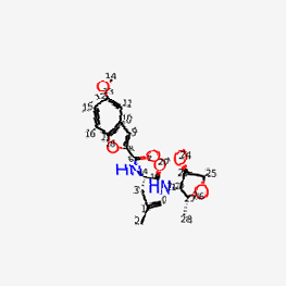 C=C(C)C[C@H](NC(=O)c1cc2cc(OC)ccc2o1)C(=O)N[C@@H]1C(=O)CO[C@@H]1C